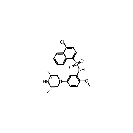 COc1ccc(N2C[C@@H](C)N[C@@H](C)C2)cc1NS(=O)(=O)c1ccc(Cl)c2ccccc12